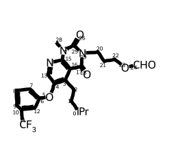 CC(C)CCc1c(Oc2cccc(C(F)(F)F)c2)cnc2c1c(=O)n(CCCOC=O)c(=O)n2C